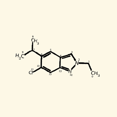 CCn1cc2cc(C(C)C)c(Cl)cc2n1